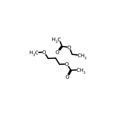 CCOC(C)=O.COCCCOC(C)=O